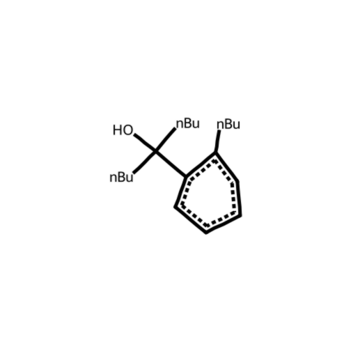 CCCCc1ccccc1C(O)(CCCC)CCCC